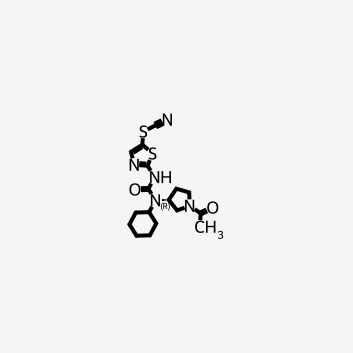 CC(=O)N1CC[C@@H](N(C(=O)Nc2ncc(SC#N)s2)C2CCCCC2)C1